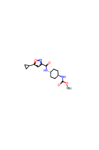 CC(C)(C)OC(=O)N[C@H]1CC[C@H](NC(=O)c2cc(C3CC3)on2)CC1